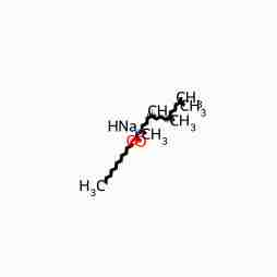 CCCCCCCCCCCCOC(=O)/C=C(\C)CCC[C@H](C)CCC[C@H](C)CCCC(C)C.[NaH]